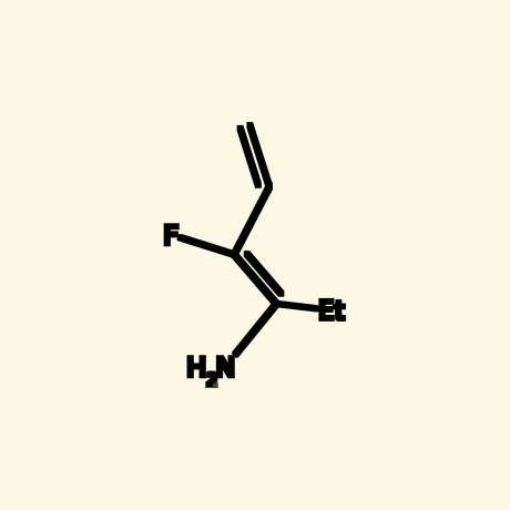 C=C/C(F)=C(/N)CC